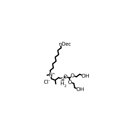 CCCCCCCCCCCCCCCCCC[N+](C)(C)CC(C)C[SiH2]OC(OCCO)OCCO.[Cl-]